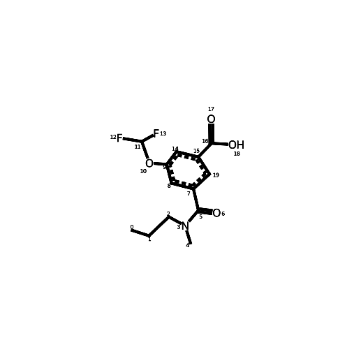 CCCN(C)C(=O)c1cc(OC(F)F)cc(C(=O)O)c1